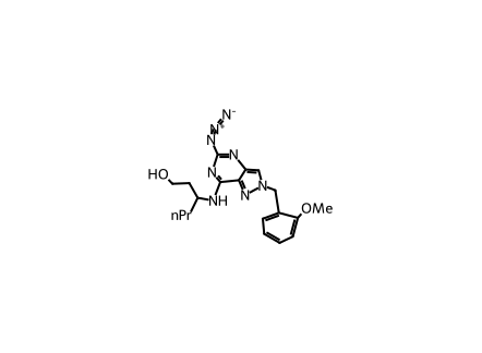 CCCC(CCO)Nc1nc(N=[N+]=[N-])nc2cn(Cc3ccccc3OC)nc12